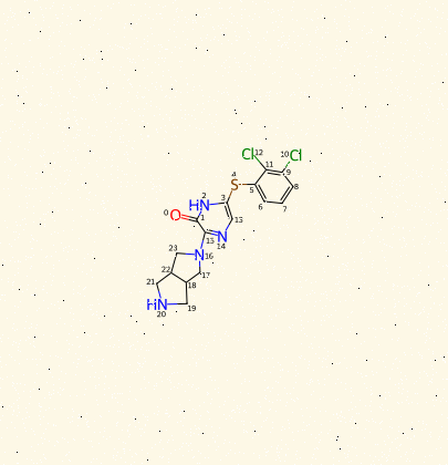 O=c1[nH]c(Sc2cccc(Cl)c2Cl)cnc1N1CC2CNCC2C1